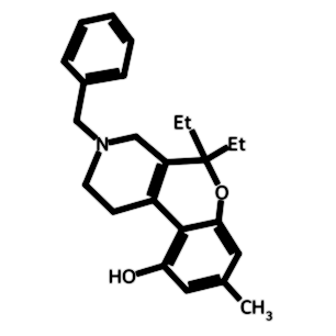 CCC1(CC)Oc2cc(C)cc(O)c2C2=C1CN(Cc1ccccc1)CC2